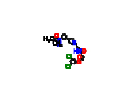 CC(C)C(=O)Nc1cccc(C2CCN(CCCNC(=O)c3ccc(Oc4cc(Cl)cc(Cl)c4)o3)CC2)c1